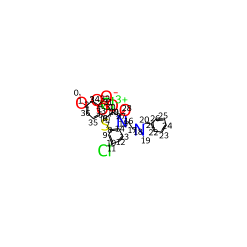 COc1ccc([C@H]2Sc3cc(Cl)ccc3N(CCN(C)Cc3ccccc3)C(=O)[C@H]2O[Cl+3]([O-])([O-])[O-])cc1